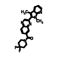 Cc1c(-c2cnc3ccc(C(=O)N4CCC(F)(F)CC4)cc3n2)n(C)c2ncccc12